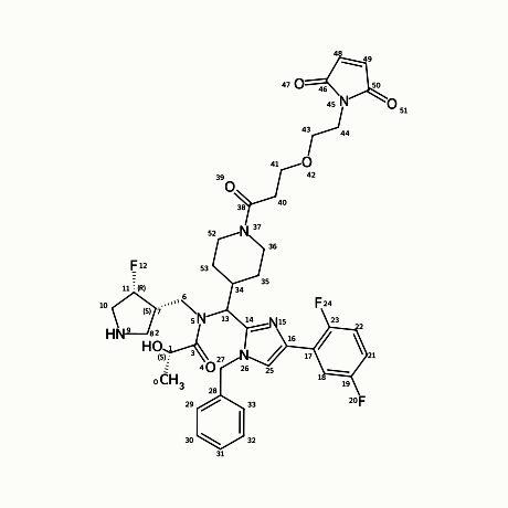 C[C@H](O)C(=O)N(C[C@@H]1CNC[C@@H]1F)C(c1nc(-c2cc(F)ccc2F)cn1Cc1ccccc1)C1CCN(C(=O)CCOCCN2C(=O)C=CC2=O)CC1